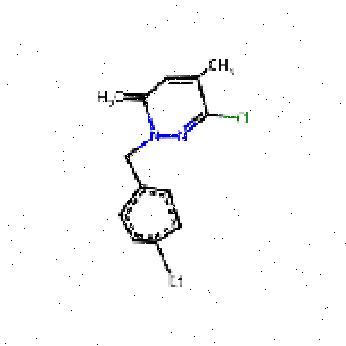 C=C1C=C(C)C(Cl)=NN1Cc1ccc(CC)cc1